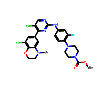 CC(C)N1CCOc2c(Cl)cc(-c3nc(Nc4ccc(N5CCN(C(=O)OC(C)(C)C)CC5)c(F)c4)ncc3Cl)cc21